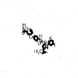 CC1(c2cc(NC(=O)Nc3ccc(Oc4ccnc(C(N)=O)c4)cc3)n(-c3cc(F)cc(F)c3)n2)CC1